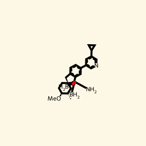 BC1(B)OC(N)=N[C@]12c1cc(-c3cncc(C4CC4)c3)ccc1C[C@@]21CC[C@H](OC)[C@@H](C)C1